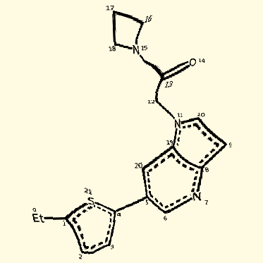 CCc1ccc(-c2cnc3ccn(CC(=O)N4CCC4)c3c2)s1